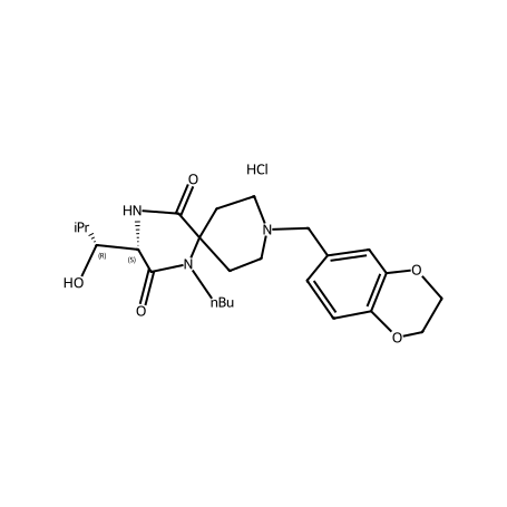 CCCCN1C(=O)[C@H]([C@H](O)C(C)C)NC(=O)C12CCN(Cc1ccc3c(c1)OCCO3)CC2.Cl